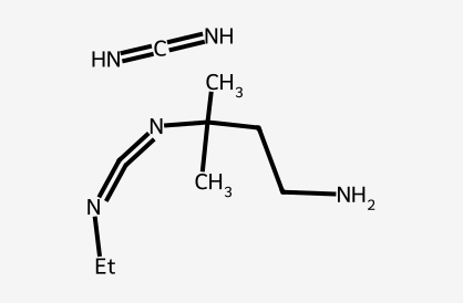 CCN=C=NC(C)(C)CCN.N=C=N